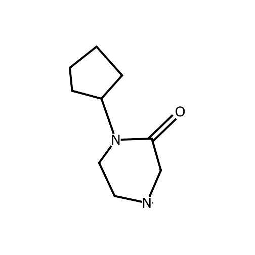 O=C1C[N]CCN1C1CCCC1